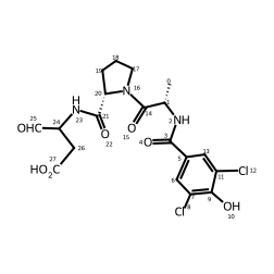 C[C@H](NC(=O)c1cc(Cl)c(O)c(Cl)c1)C(=O)N1CCC[C@H]1C(=O)NC(C=O)CC(=O)O